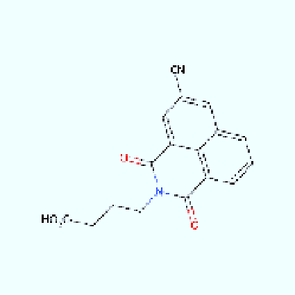 N#Cc1cc2c3c(cccc3c1)C(=O)N(CCCC(=O)O)C2=O